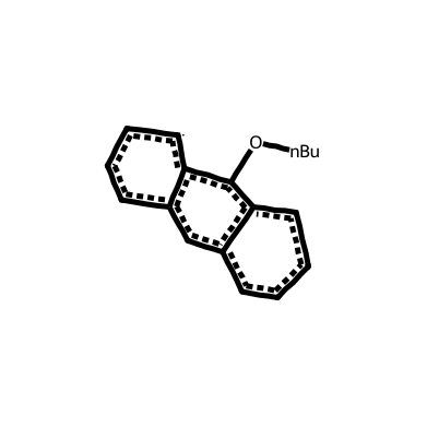 CCCCOc1c2[c]cccc2cc2ccccc12